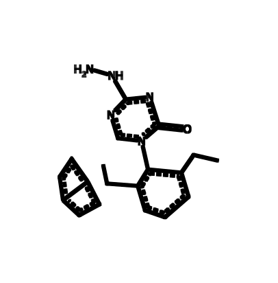 CCc1cccc(CC)c1-n1cnc(NN)nc1=O.c1cc2ccc1-2